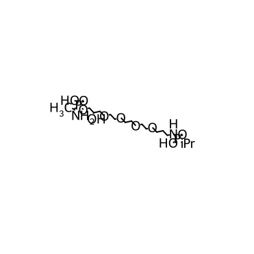 CC(C)P(=O)(O)NCCCOCCOCCOCCOCC(O)COP(=O)(O)C(C)N